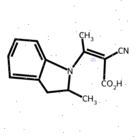 C/C(=C(\C#N)C(=O)O)N1c2ccccc2CC1C